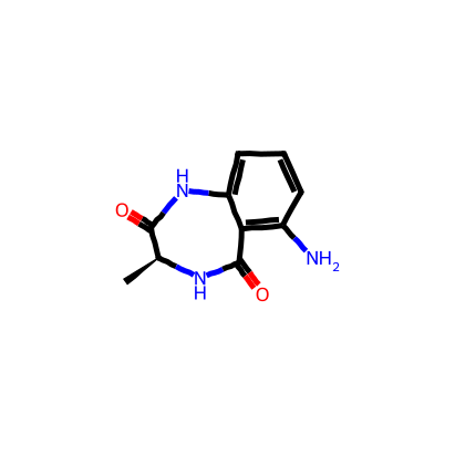 C[C@@H]1NC(=O)c2c(N)cccc2NC1=O